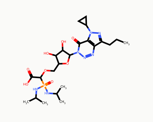 CCCc1nn(C2CC2)c2c(=O)n(C3OC(COC(C(=O)O)P(=O)(NC(C)C)NC(C)C)C(O)C3O)nnc12